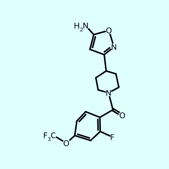 Nc1cc(C2CCN(C(=O)c3ccc(OC(F)(F)F)cc3F)CC2)no1